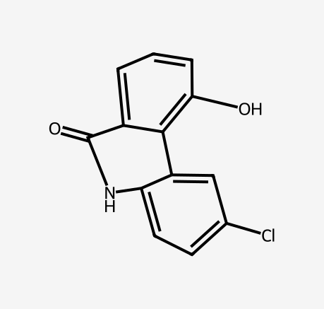 O=c1[nH]c2ccc(Cl)cc2c2c(O)cccc12